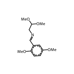 COc1ccc(OC)c(/C=N/CC(OC)OC)c1